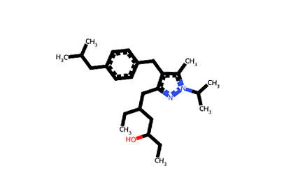 CCC(O)CC(CC)Cc1nn(C(C)C)c(C)c1Cc1ccc(CC(C)C)cc1